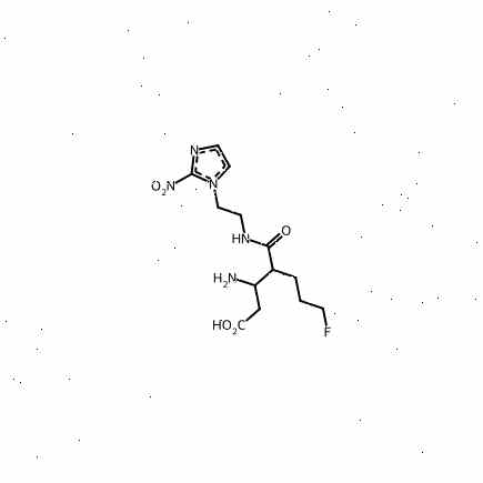 NC(CC(=O)O)C(CCCF)C(=O)NCCn1ccnc1[N+](=O)[O-]